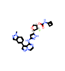 Cn1ncc2cc(-c3cnn4ccnc(Nc5cc([C@@H]6OC[C@H](OC(=O)NC78CC(C7)C8)[C@@H]6F)[nH]n5)c34)ccc21